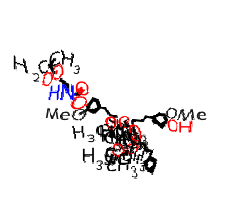 C=C(C)C(=O)OCCNC(=O)Oc1ccc(CCC[Si](C)(O[Si](C)(C)C)O[Si](C)(CCCc2ccc(O)c(OC)c2)O[Si](C)(CCCc2ccccc2)O[Si](C)(C)O[Si](C)(C)C)cc1OC